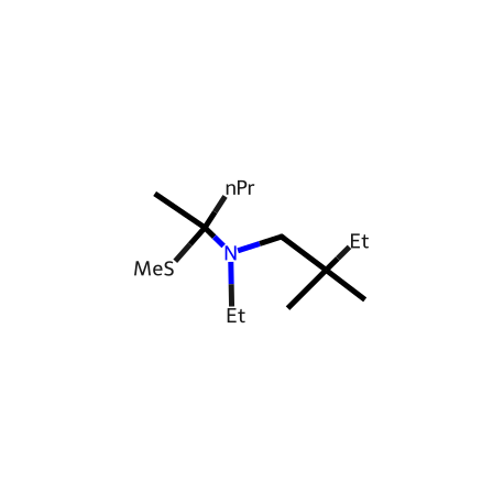 CCCC(C)(SC)N(CC)CC(C)(C)CC